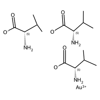 CC(C)[C@H](N)C(=O)[O-].CC(C)[C@H](N)C(=O)[O-].CC(C)[C@H](N)C(=O)[O-].[Au+3]